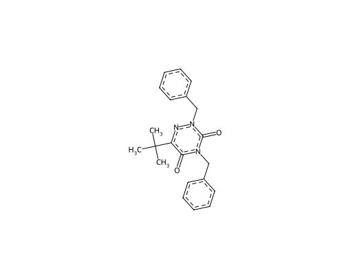 CC(C)(C)c1nn(Cc2ccccc2)c(=O)n(Cc2ccccc2)c1=O